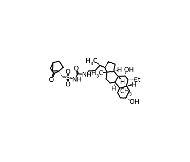 CC[C@H]1[C@@H](O)[C@@H]2[C@H](CC[C@]3(C)[C@@H]([C@H](C)CCNC(=O)NS(=O)(=O)C[C@]45CCC(CC4=O)C5)CC[C@@H]23)[C@@]2(C)CC[C@@H](O)C[C@@H]12